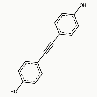 Oc1ccc(C#Cc2ccc(O)cc2)cc1